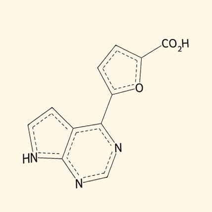 O=C(O)c1ccc(-c2ncnc3[nH]ccc23)o1